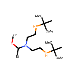 CCC(OC(C)C)N(CCPC(C)(OC)OC)CCPC(C)(OC)OC